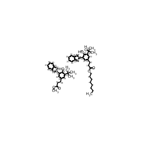 CCCCCCCCOC(=O)CCc1cc(-n2nc3ccccc3n2)c(O)c(C(C)(C)C)c1.COC(=O)CCc1cc(-n2nc3ccccc3n2)c(O)c(C(C)(C)C)c1